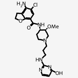 CO[C@H]1CN(CCCNc2nccc(O)n2)CC[C@H]1NC(=O)c1cc(Cl)c(N)c2c1OCC2